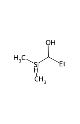 [CH2]CC(O)[SiH](C)C